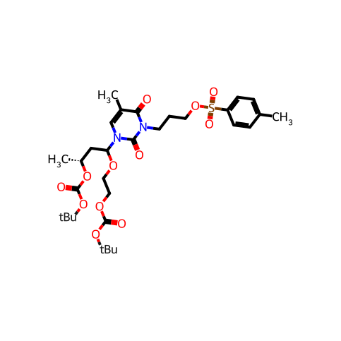 Cc1ccc(S(=O)(=O)OCCCn2c(=O)c(C)cn(C(C[C@@H](C)OC(=O)OC(C)(C)C)OCCOC(=O)OC(C)(C)C)c2=O)cc1